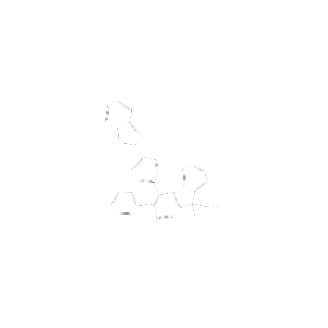 CC1(C)c2ccccc2-c2c1ccc(-c1ccccc1)c2-c1ccc(C2N=C3C=CC=CC3O2)cc1